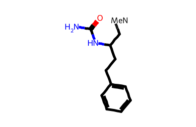 CNCC(CCc1ccccc1)NC(N)=O